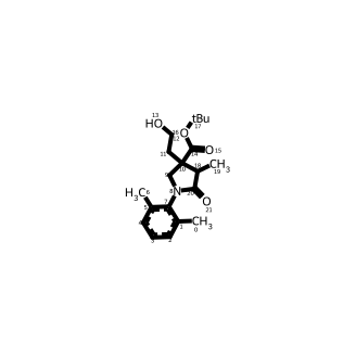 Cc1cccc(C)c1N1CC(CCO)(C(=O)OC(C)(C)C)C(C)C1=O